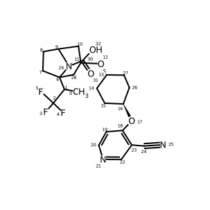 CC(C(F)(F)F)C12CCC(CC(O[C@H]3CC[C@H](Oc4ccncc4C#N)CC3)C1)N2C(=O)O